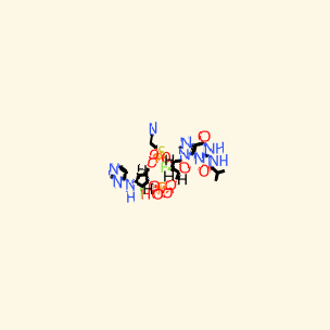 CC(C)C(=O)Nc1nc2c(ncn2[C@@H]2O[C@@H]3COP(=O)(O)O[C@@H]4[C@@H](COP(=S)(OCCC#N)O[C@@H]2[C@@H]3F)C[C@@H](Nc2ccncn2)[C@@H]4F)c(=O)[nH]1